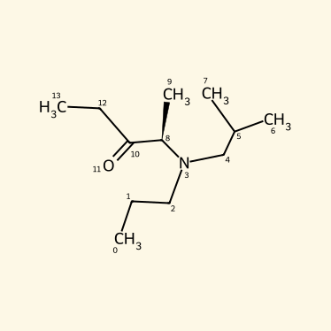 CCCN(CC(C)C)[C@H](C)C(=O)CC